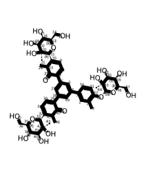 Cc1cc(-c2cc(C3=CC=C([C@H]4O[C@H](CO)[C@@H](O)[C@H](O)[C@]4(C)O)C(C)C3=O)cc(C3=CC=C([C@H]4O[C@H](CO)[C@@H](O)[C@H](O)[C@]4(C)O)C(C)C3=O)c2)ccc1O[C@H]1O[C@H](CO)[C@@H](O)[C@H](O)[C@]1(C)O